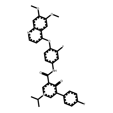 COc1cc2nccc(Oc3ccc(NC(=O)c4cn(C(C)C)cc(-c5ccc(F)cc5)c4=O)cc3F)c2cc1OC